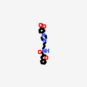 O=C(NCCCCN1CCN(c2ccc3c(c2)OCO3)CC1)C1=Cc2ccccc2OC1